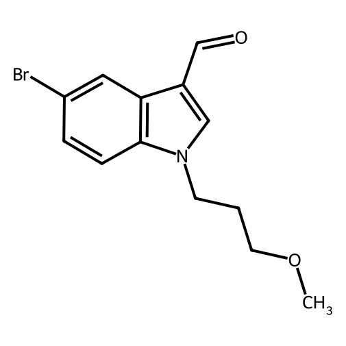 COCCCn1cc(C=O)c2cc(Br)ccc21